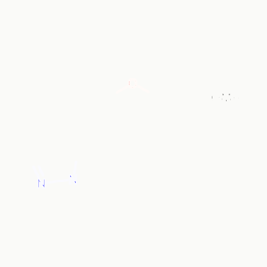 COCCOc1ccc2c(c1)[N]N=C2